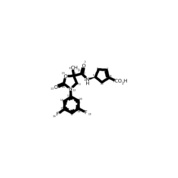 CC1(C(=O)N[C@H]2CC=C(C(=O)O)C2)CN(c2cc(F)cc(F)c2)C(=O)O1